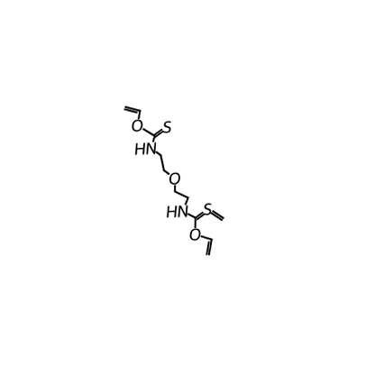 C=COC(=S)NCCOCCNC(OC=C)=S=C